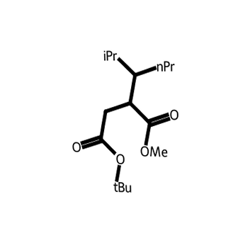 CCCC(C(C)C)C(CC(=O)OC(C)(C)C)C(=O)OC